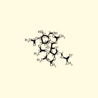 CC(=O)OC[C@H]1O[C@](O[C@H]2O[C@H](CO)[C@@H](O)[C@H](OC(C)=O)[C@H]2OC(C)=O)(C(C)OC(C)=O)[C@@H](OC(C)=O)[C@@H]1OC(C)=O